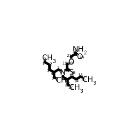 CCCCC(CC)CN(CC(CC)CCCC)C(=S)COCC(N)=O